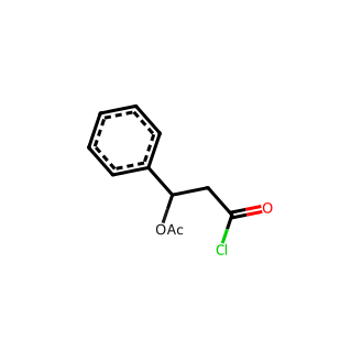 CC(=O)OC(CC(=O)Cl)c1ccccc1